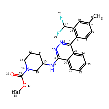 Cc1ccc(-c2nnc(NC3CCCN(C(=O)OC(C)(C)C)C3)c3ccccc23)c(C(F)F)c1